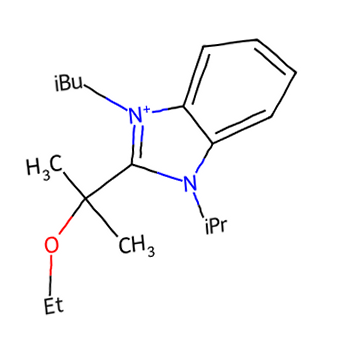 CCOC(C)(C)c1n(C(C)C)c2ccccc2[n+]1C(C)CC